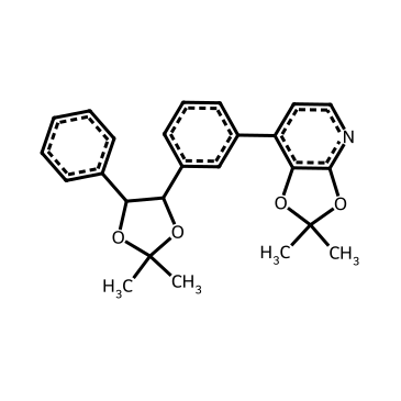 CC1(C)Oc2nccc(-c3cccc(C4OC(C)(C)OC4c4ccccc4)c3)c2O1